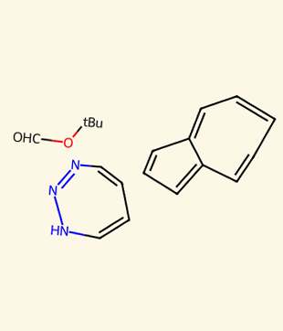 C1=CN=NNC=C1.CC(C)(C)OC=O.c1ccc2cccc-2cc1